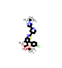 Cc1cc2nc(-c3ccnc(-c4cnn(C(C)(C)C)c4)c3)sc2c(-c2ccc(Cl)cc2)c1[C@H](OC(C)(C)C)C(=O)O